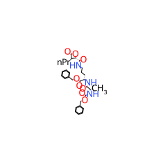 CCCC1C(=O)O[C@@H]1C(=O)NCCC[C@H](NC(=O)[C@H](C)NC(=O)OCc1ccccc1)C(=O)OCc1ccccc1